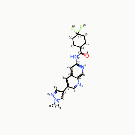 Cn1cc(-c2cnc3cnc(NC(=O)C4CCC(F)(F)CC4)cc3c2)cn1